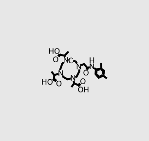 Cc1ccc(NC(=O)CN2CCN(C(C)C(=O)O)CCN(C(C)C(=O)O)CCN(C(C)C(=O)O)CC2)c(C)c1